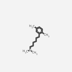 Cc1ccc(C)c(CCCCCCN(C)C)c1